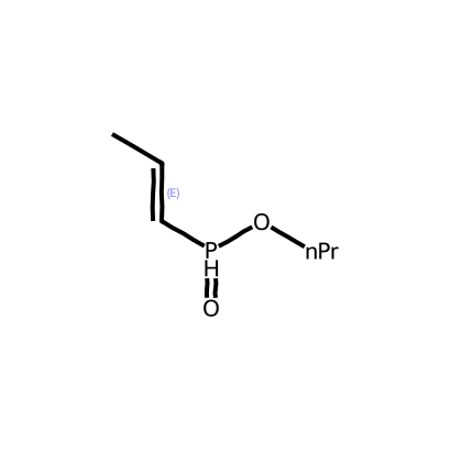 C/C=C/[PH](=O)OCCC